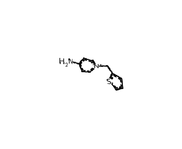 Nc1cc[n+](Cc2cccs2)cc1